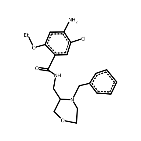 CCOc1cc(N)c(Cl)cc1C(=O)NCC1COCCN1Cc1ccccc1